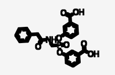 O=C(Cc1ccccc1)NCP(=O)(Oc1cccc(C(=O)O)c1)Oc1cccc(C(=O)O)c1